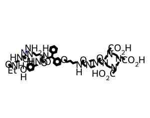 CCC(=O)NCCNC(=O)/N=C(/N)NCCC[C@@H](NC(=O)C(c1ccccc1)c1cccc(OCCCCNC(=O)CN2CCN(C(=O)CN3CCN(CC(=O)O)CCN(CC(=O)O)CCN(CC(=O)O)CC3)CC2)c1)C(=O)NCc1ccc(O)cc1